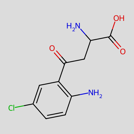 Nc1ccc(Cl)cc1C(=O)CC(N)C(=O)O